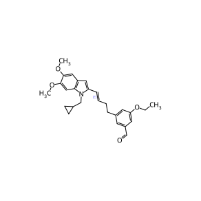 CCOc1cc(C=O)cc(CC/C=C/c2cc3cc(OC)c(OC)cc3n2CC2CC2)c1